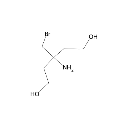 NC(CBr)(CCO)CCO